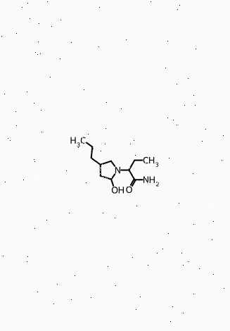 CCCC1CC(O)N(C(CC)C(N)=O)C1